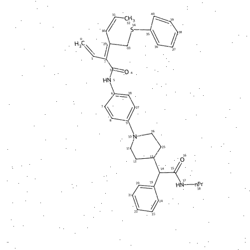 C=C/C(C(=O)Nc1ccc(N2CCC(C(C(=O)NCCC)c3ccccc3)CC2)cc1)=C(\C=C/C)CSc1ccccc1